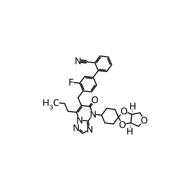 CCCc1c(Cc2ccc(-c3ccccc3C#N)cc2F)c(=O)n(C2CCC3(CC2)O[C@H]2COC[C@H]2O3)c2ncnn12